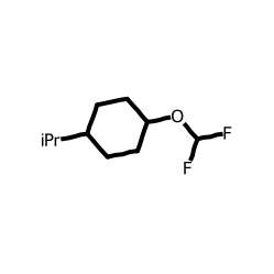 CC(C)C1CCC(OC(F)F)CC1